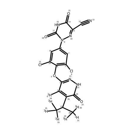 [2H]c1c(Oc2c(Cl)cc(-n3nc(C#N)c(=O)[nH]c3=O)cc2Cl)n[nH]c(=O)c1C(C([2H])([2H])[2H])C([2H])([2H])[2H]